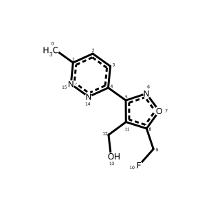 Cc1ccc(-c2noc(CF)c2CO)nn1